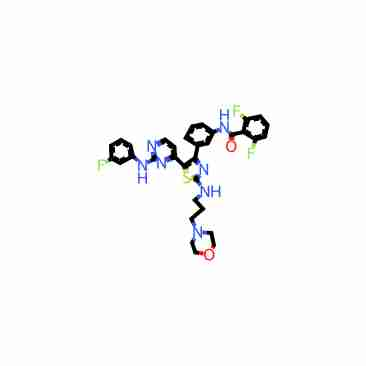 O=C(Nc1cccc(-c2nc(NCCCN3CCOCC3)sc2-c2ccnc(Nc3cccc(F)c3)n2)c1)c1c(F)cccc1F